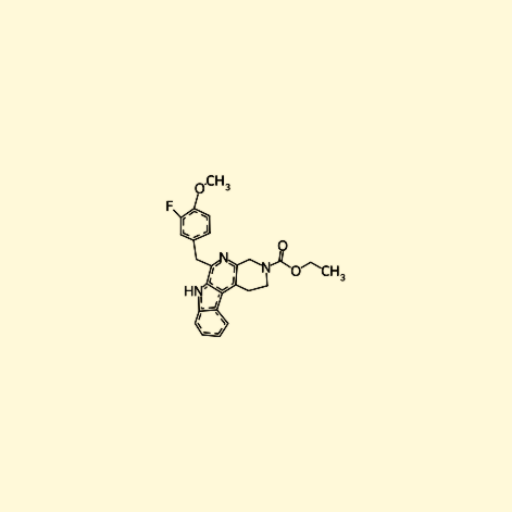 CCOC(=O)N1CCc2c(nc(Cc3ccc(OC)c(F)c3)c3[nH]c4ccccc4c23)C1